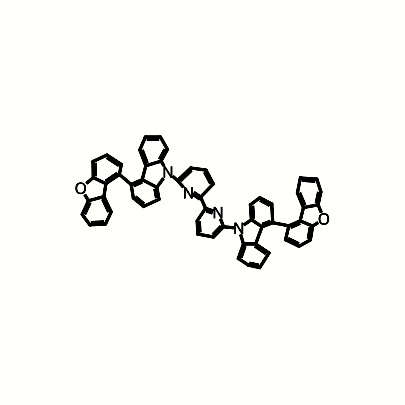 c1cc(-c2cccc(-n3c4ccccc4c4c(-c5cccc6oc7ccccc7c56)cccc43)n2)nc(-n2c3ccccc3c3c(-c4cccc5oc6ccccc6c45)cccc32)c1